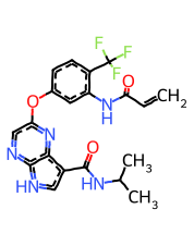 C=CC(=O)Nc1cc(Oc2cnc3[nH]cc(C(=O)NC(C)C)c3n2)ccc1C(F)(F)F